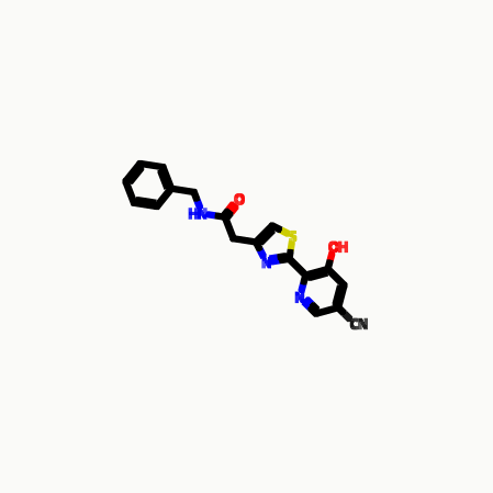 N#Cc1cnc(-c2nc(CC(=O)NCc3ccccc3)cs2)c(O)c1